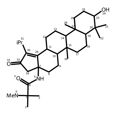 CNC(C)(C)C(=O)NC12CCC3C(CCC4C3(C)CCC3C(C)(C)C(O)CCC34C)C1=C(C(C)C)C(=O)C2